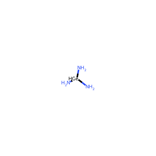 [NH2][GeH]([NH2])[NH2]